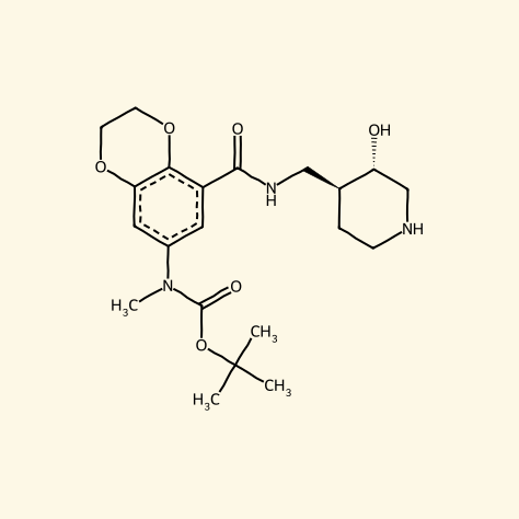 CN(C(=O)OC(C)(C)C)c1cc2c(c(C(=O)NC[C@@H]3CCNC[C@H]3O)c1)OCCO2